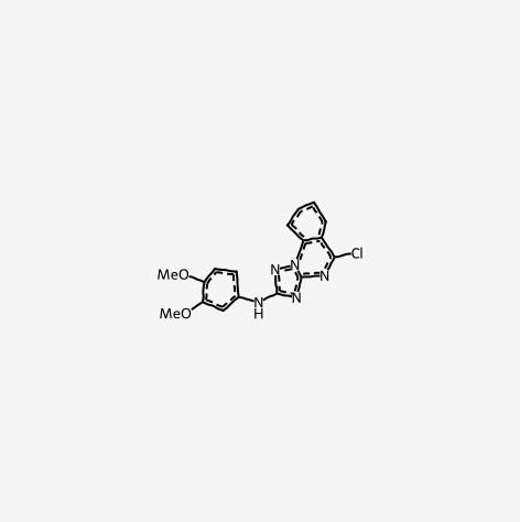 COc1ccc(Nc2nc3nc(Cl)c4ccccc4n3n2)cc1OC